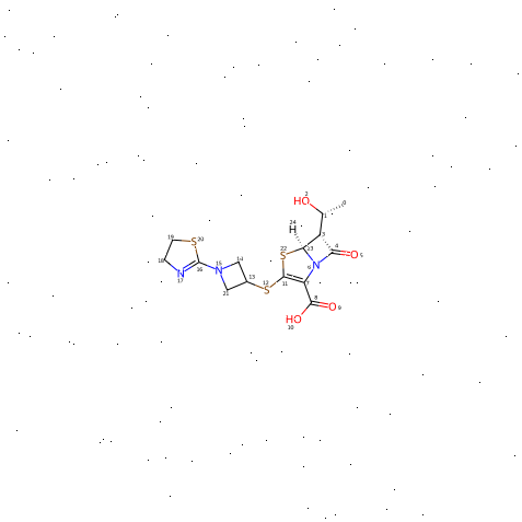 C[C@@H](O)[C@@H]1C(=O)N2C(C(=O)O)=C(SC3CN(C4=NCCS4)C3)S[C@@H]12